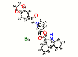 O=C(C[N+]12CCC(CC1)[C@@H](OC(=O)[C@H](Nc1ccccc1)c1ccccc1)C2)c1ccc2c(c1)OCCO2.[Br-]